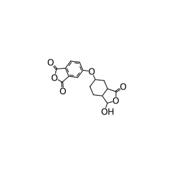 O=C1OC(=O)c2cc(OC3CCC4C(O)OC(=O)C4C3)ccc21